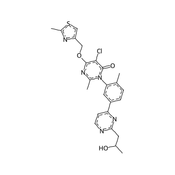 Cc1nc(COc2nc(C)n(-c3cc(-c4ccnc(CC(C)O)n4)ccc3C)c(=O)c2Cl)cs1